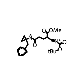 COC(=O)C(C#[N+]C(=O)OC(C)(C)C)CCC(=O)N(C)C1(Cc2ccccc2)CC1